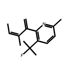 C=C(/C(C)=C\C)c1nc(C)ccc1C(C)(C)F